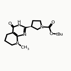 CN1CCCc2c1nc([C@H]1CCN(C(=O)OC(C)(C)C)C1)[nH]c2=O